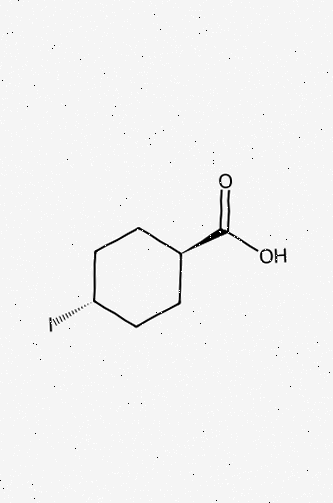 O=C(O)[C@H]1CC[C@H](I)CC1